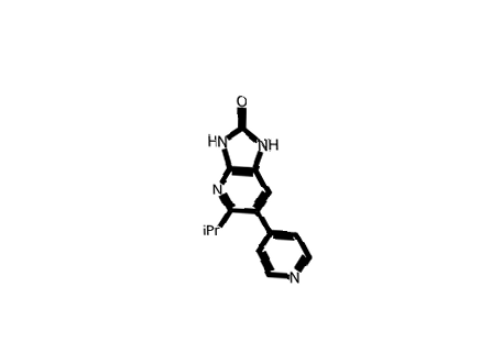 CC(C)c1nc2[nH]c(=O)[nH]c2cc1-c1ccncc1